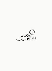 C=Cc1ccc(OP(=O)(O)c2ccccc2)cc1